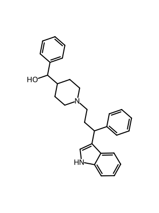 OC(c1ccccc1)C1CCN(CCC(c2ccccc2)c2c[nH]c3ccccc23)CC1